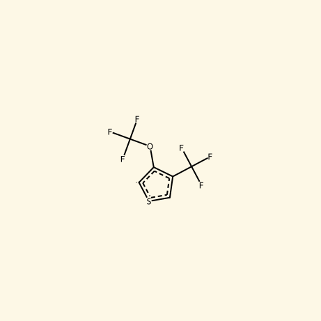 FC(F)(F)Oc1[c]scc1C(F)(F)F